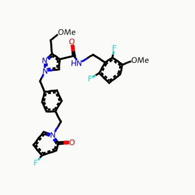 COCc1nn(Cc2ccc(Cn3ccc(F)cc3=O)cc2)cc1C(=O)NCc1c(F)ccc(OC)c1F